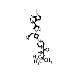 CC(C)(C)CNC(=O)N1CCN([C@H]2C[C@](CC#N)(n3cc(-c4ncnc5[nH]ccc45)cn3)C2)CC1